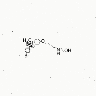 CN(C1CCC(OCCCCCCNCCO)CC1)S(=O)(=O)c1ccc(Br)cc1